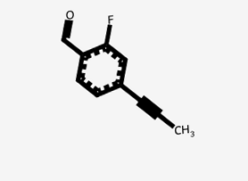 CC#Cc1ccc(C=O)c(F)c1